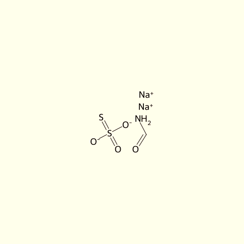 NC=O.O=S([O-])([O-])=S.[Na+].[Na+]